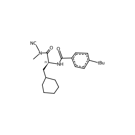 CN(C#N)C(=O)[C@H](CC1CCCCC1)NC(=O)c1ccc(C(C)(C)C)cc1